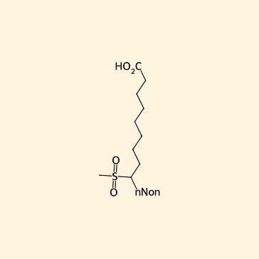 CCCCCCCCCC(CCCCCCCC(=O)O)S(C)(=O)=O